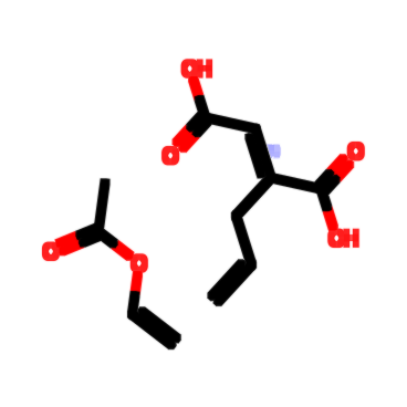 C=CC/C(=C\C(=O)O)C(=O)O.C=COC(C)=O